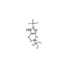 CC(C)(C)c1nc2c([nH]1)CCN(C(C)(C)C)C2